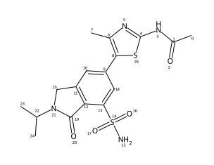 CC(=O)Nc1nc(C)c(-c2cc3c(c(S(N)(=O)=O)c2)C(=O)N(C(C)C)C3)s1